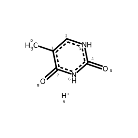 Cc1c[nH]c(=O)[nH]c1=O.[H+]